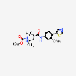 COc1cc(NC(=O)C(C)CC(C)NC(=O)OC(C)(C)C)ccc1-c1cncs1